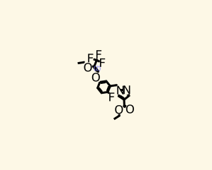 CCOC(=O)c1cnn(Cc2cc(O/C=C(\OCC)C(F)(F)F)ccc2F)c1